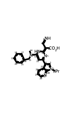 CC(C)n1cc(C2=N/C(=C(/C=N)C(=O)O)NC(N(C)Cc3ccccc3)=C2)c2cccnc21